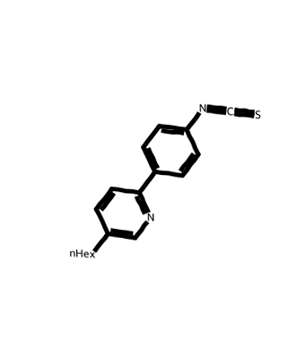 CCCCCCc1ccc(-c2ccc(N=C=S)cc2)nc1